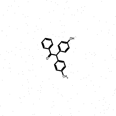 Cc1ccc(C(C(=O)c2ccccc2)c2ccc(O)cc2)cc1